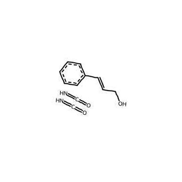 N=C=O.N=C=O.OC/C=C/c1ccccc1